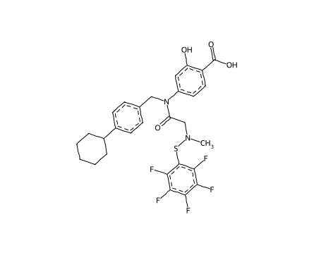 CN(CC(=O)N(Cc1ccc(C2CCCCC2)cc1)c1ccc(C(=O)O)c(O)c1)Sc1c(F)c(F)c(F)c(F)c1F